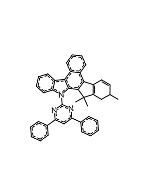 CC1C=CC2=C(C1)C(C)(C)c1c2c2ccccc2c2c3ccccc3n(-c3nc(-c4ccccc4)cc(-c4ccccc4)n3)c12